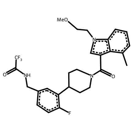 COCCn1cc(C(=O)N2CCC(c3cc(CNC(=O)C(F)(F)F)ccc3F)CC2)c2c(C)cccc21